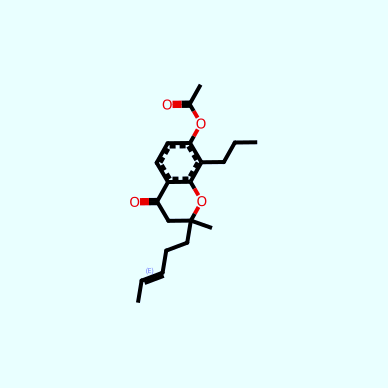 C/C=C/CCC1(C)CC(=O)c2ccc(OC(C)=O)c(CCC)c2O1